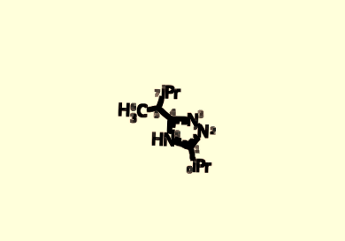 CC(C)c1nnc(C(C)C(C)C)[nH]1